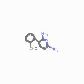 Nc1ccc(-c2ccccc2C=O)c(N)n1